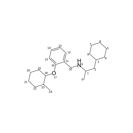 CC(CC1CCCCC1)NCc1ccccc1OC1CCCCC1C